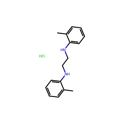 Cc1ccccc1NCCNc1ccccc1C.Cl